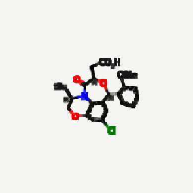 COc1ccccc1[C@H]1O[C@H](CC(=O)O)C(=O)N2c3c(cc(Cl)cc31)OC[C@H]2C(C)(C)C